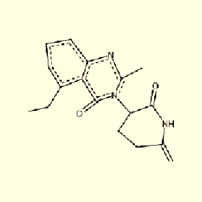 C=C1CCC(n2c(C)nc3cccc(CC)c3c2=O)C(=O)N1